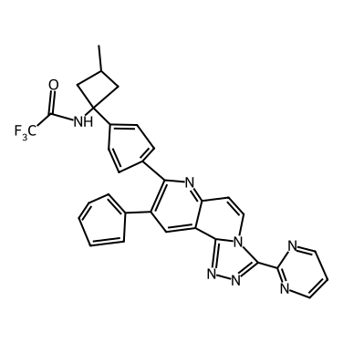 CC1CC(NC(=O)C(F)(F)F)(c2ccc(-c3nc4ccn5c(-c6ncccn6)nnc5c4cc3-c3ccccc3)cc2)C1